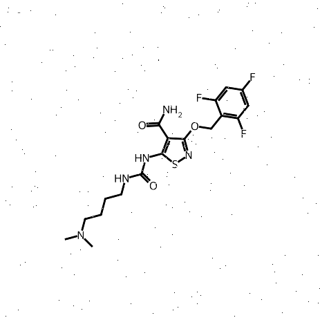 CN(C)CCCCNC(=O)Nc1snc(OCc2c(F)cc(F)cc2F)c1C(N)=O